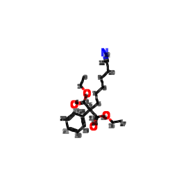 CCOC(=O)C(CCCCCC#N)(C(=O)OCC)c1ccccc1